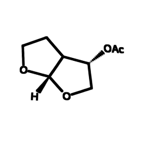 CC(=O)O[C@@H]1CO[C@@H]2OCCC21